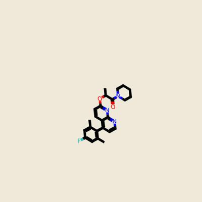 Cc1cc(F)cc(C)c1-c1ccnc2nc(OC(C)C(=O)N3CCCCC3)ccc12